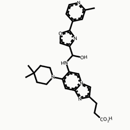 Cc1cc(-c2nc(C(O)Nc3cn4cc(CCC(=O)O)nc4cc3N3CCC(C)(C)CC3)co2)ccn1